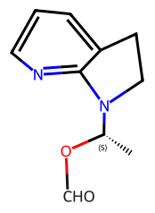 C[C@H](OC=O)N1CCc2cccnc21